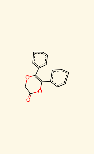 O=C1COC(c2ccccc2)=C(c2ccccc2)O1